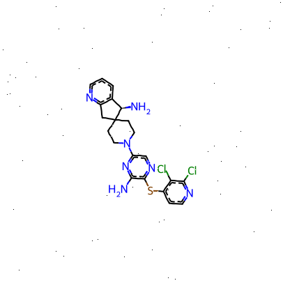 Nc1nc(N2CCC3(CC2)Cc2ncccc2[C@H]3N)cnc1Sc1ccnc(Cl)c1Cl